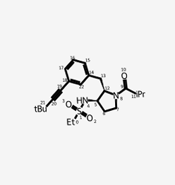 CCS(=O)(=O)N[C@@H]1CCN(C(=O)C(C)C)[C@@H]1Cc1cccc(C#CC(C)(C)C)c1